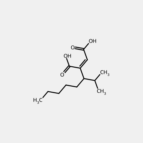 CCCCCC(C(=CC(=O)O)C(=O)O)C(C)C